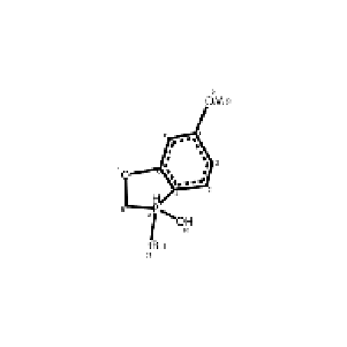 COc1c[c]c2c(c1)OC[PH]2(O)C(C)(C)C